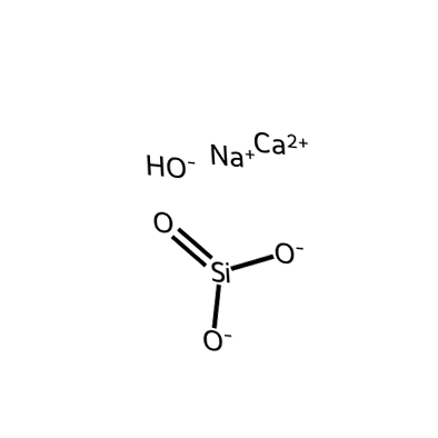 O=[Si]([O-])[O-].[Ca+2].[Na+].[OH-]